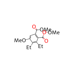 CCc1c(OC)cc(C(=O)OC)c(C(=O)OOC)c1CC